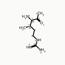 CC(=O)[C@H](N)[C@H](C)CCNC(=N)N